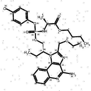 CCCCOC(=O)[C@H](C)N[P@](=O)(OC[C@@H](CC)n1c(COCC)nc2c(N)nc3ccccc3c21)Oc1ccc(Cl)cc1